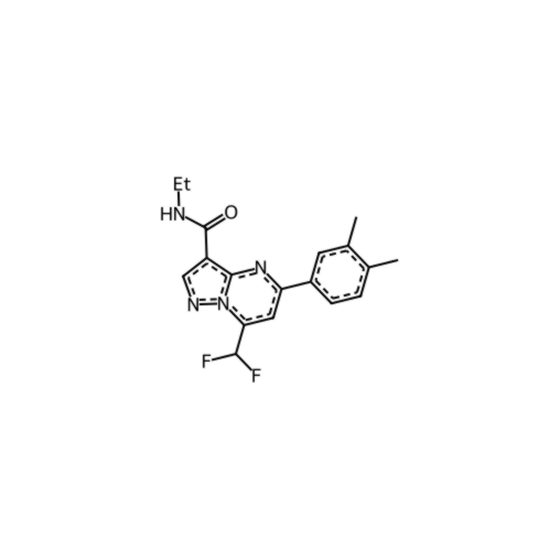 CCNC(=O)c1cnn2c(C(F)F)cc(-c3ccc(C)c(C)c3)nc12